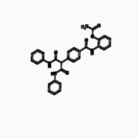 NC(=O)Oc1ccccc1NC(=O)c1ccc(C(C(=O)Nc2ccccc2)C(=O)Nc2ccccc2)cc1